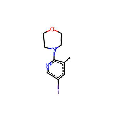 Cc1cc(I)cnc1N1CCOCC1